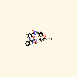 CC(OC1CC2CCC1CC2CNC(=O)c1cccnc1Oc1nonc1Cc1ccccc1)C(=O)O